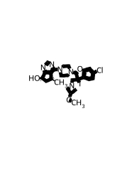 COC1CN(CC(I)(C(=O)N2CCN(c3ncnc4c3[C@H](C)C[C@H]4O)CC2)c2ccc(Cl)cc2)C1